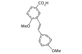 COc1ccc(C=Cc2cc(C(=O)O)ccc2OC)cc1